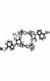 B[P@]1(=O)OC[C@H]2O[C@@H](n3cnc4c(N)ncnc43)C(F)C2O[P@](=O)(S)OC[C@H]2O[C@@H](n3cnc4c(N)ncnc43)C(F)C2O1